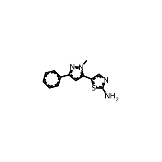 Cn1nc(-c2ccccc2)cc1-c1cnc(N)s1